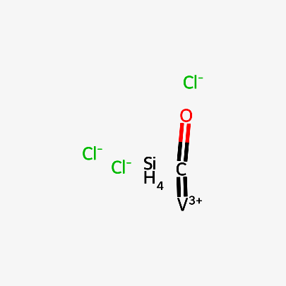 O=[C]=[V+3].[Cl-].[Cl-].[Cl-].[SiH4]